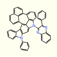 c1ccc(-c2nc3ccccc3nc2-n2c3cccc4c3c3c(c5c6ccccc6n(-c6ccccc6)c5cc32)-c2cccc3cccc-4c23)cc1